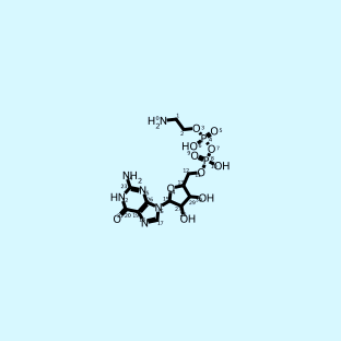 NCCOP(=O)(O)OP(=O)(O)OCC1OC(n2cnc3c(=O)[nH]c(N)nc32)C(O)C1O